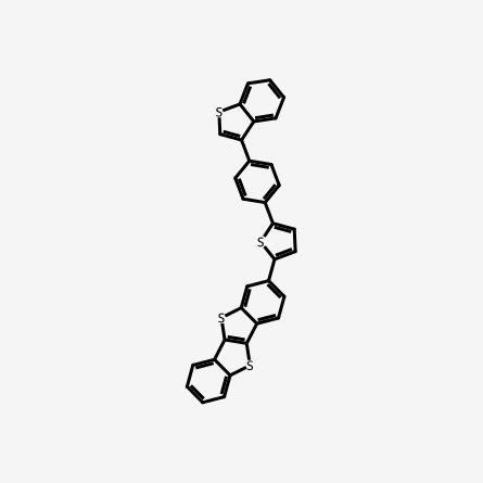 c1ccc2c(-c3ccc(-c4ccc(-c5ccc6c(c5)sc5c7ccccc7sc65)s4)cc3)csc2c1